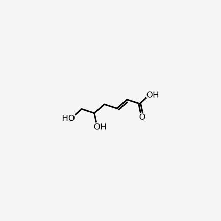 O=C(O)C=CCC(O)CO